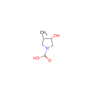 CC1CN(C(=O)O)CC1O